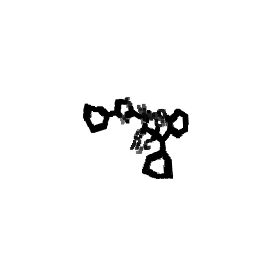 COc1ccccc1C(c1ccccc1)C(C)(C)C(=O)Nc1nc(-c2ccccc2)cs1